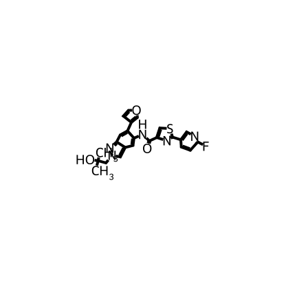 CC(C)(O)Cn1cc2cc(NC(=O)c3csc(-c4ccc(F)nc4)n3)c(-c3ccoc3)cc2n1